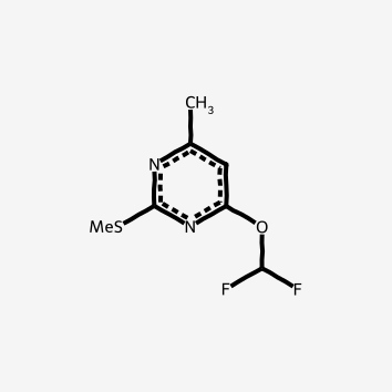 CSc1nc(C)cc(OC(F)F)n1